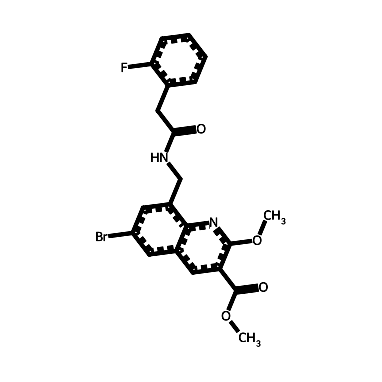 COC(=O)c1cc2cc(Br)cc(CNC(=O)Cc3ccccc3F)c2nc1OC